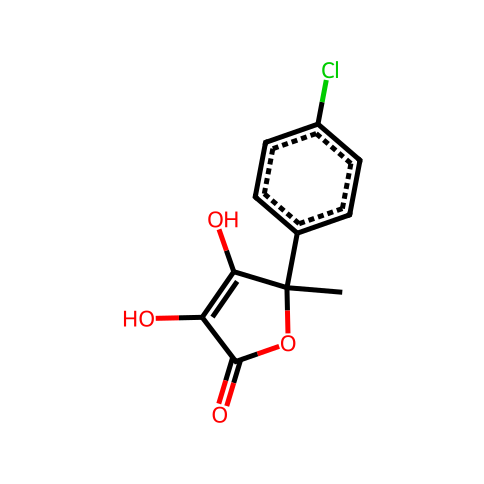 CC1(c2ccc(Cl)cc2)OC(=O)C(O)=C1O